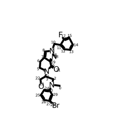 CN1C[C@H](N2CCc3cn(Cc4ccccc4F)nc3C2=O)COc2ccc(Br)cc21